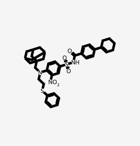 O=C(NS(=O)(=O)c1ccc(N(CCSc2ccccc2)CC23CC4CC(CC(C4)C2)C3)c([N+](=O)[O-])c1)c1ccc(C2=CCCCC2)cc1